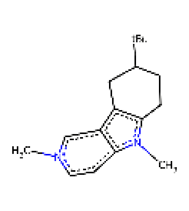 Cn1c2c(c3c[n+](C)ccc31)CC(C(C)(C)C)CC2